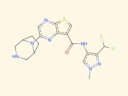 Cn1cc(NC(=O)c2csc3ncc(N4C5CCC4CNC5)nc23)c(C(F)F)n1